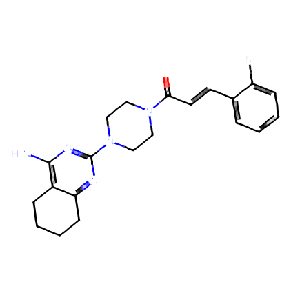 Nc1nc(N2CCN(C(=O)C=Cc3ccccc3[N+](=O)[O-])CC2)nc2c1CCCC2